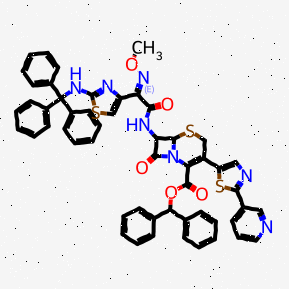 CO/N=C(/C(=O)NC1C(=O)N2C(C(=O)OC(c3ccccc3)c3ccccc3)=C(c3cnc(-c4cccnc4)s3)CSC12)c1csc(NC(c2ccccc2)(c2ccccc2)c2ccccc2)n1